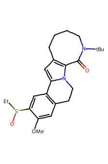 CC[S+]([O-])c1cc2c(cc1OC)CCn1c-2cc2c1C(=O)N(C(C)(C)C)CCCC2